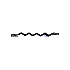 CCCCCCCCC/C=C/CCCCCCCCCCCCCCCC